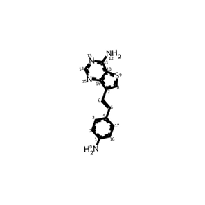 Nc1ccc(C=Cc2csc3c(N)ncnc23)cc1